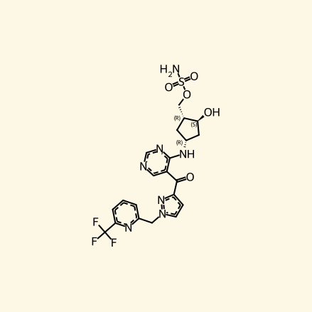 NS(=O)(=O)OC[C@H]1C[C@@H](Nc2ncncc2C(=O)c2ccn(Cc3cccc(C(F)(F)F)n3)n2)C[C@@H]1O